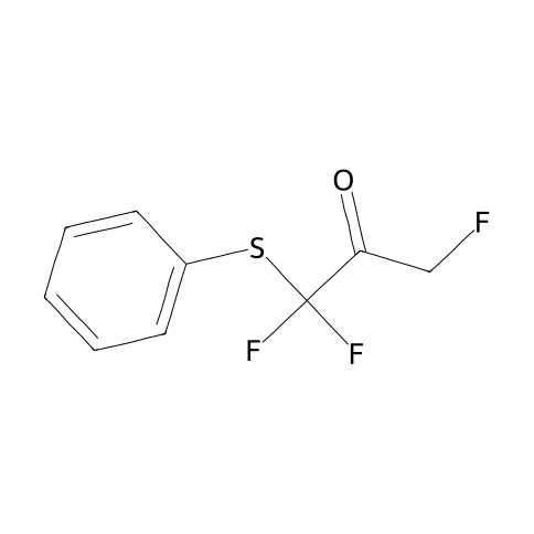 O=C(CF)C(F)(F)Sc1ccccc1